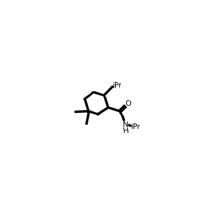 CC(C)NC(=O)C1CC(C)(C)CCC1C(C)C